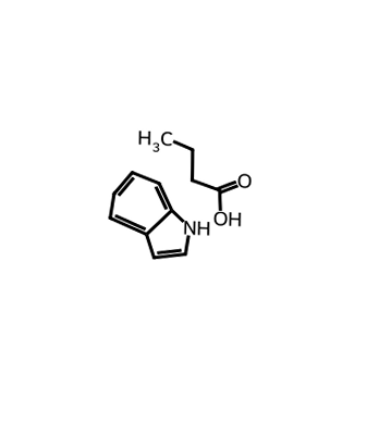 CCCC(=O)O.c1ccc2[nH]ccc2c1